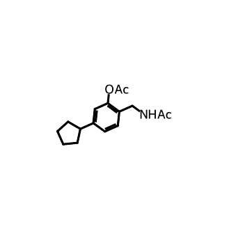 CC(=O)NCc1ccc(C2CCCC2)cc1OC(C)=O